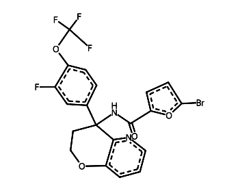 O=C(NC1(c2ccc(OC(F)(F)F)c(F)c2)CCOc2cccnc21)c1ccc(Br)o1